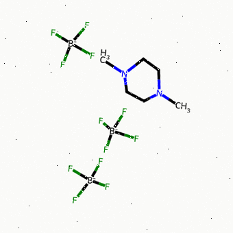 CN1CCN(C)CC1.F[B-](F)(F)F.F[B-](F)(F)F.F[B-](F)(F)F